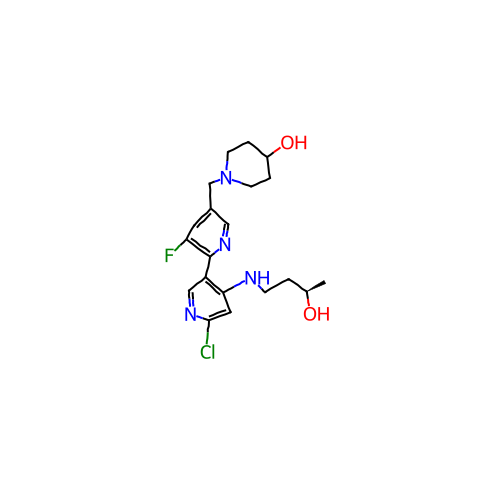 C[C@@H](O)CCNc1cc(Cl)ncc1-c1ncc(CN2CCC(O)CC2)cc1F